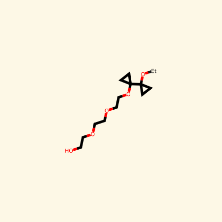 [CH2]COC1(C2(OCCOCCOCCO)CC2)CC1